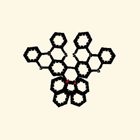 c1ccc2c(c1)Sc1cc(-n3c4ccccc4c4ccccc43)c(-c3c(-n4c5ccccc5c5ccccc54)cc4c5c3Sc3ccccc3B5c3ccccc3S4)c3c1B2c1ccccc1S3